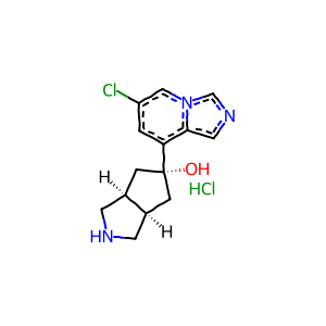 Cl.O[C@]1(c2cc(Cl)cn3cncc23)C[C@H]2CNC[C@H]2C1